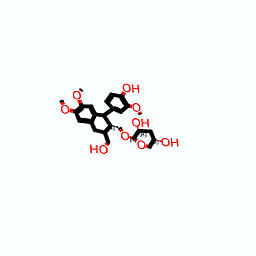 COc1cc(C2c3cc(OC)c(OC)cc3CC(CO)[C@H]2CO[C@@H]2OC[C@@H](O)C[C@H]2O)ccc1O